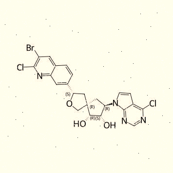 O[C@H]1[C@H](n2ccc3c(Cl)ncnc32)C[C@@]2(CO[C@H](c3ccc4cc(Br)c(Cl)nc4c3)C2)[C@H]1O